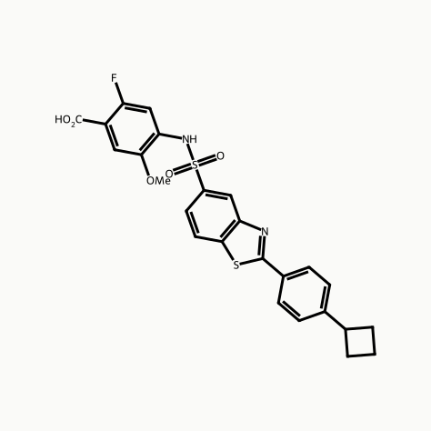 COc1cc(C(=O)O)c(F)cc1NS(=O)(=O)c1ccc2sc(-c3ccc(C4CCC4)cc3)nc2c1